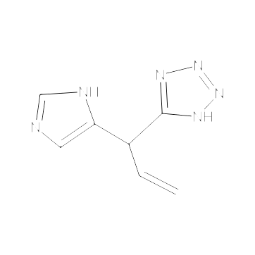 C=CC(c1cnc[nH]1)c1nnn[nH]1